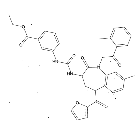 CCOC(=O)c1cccc(NC(=O)NC2CC(C(=O)c3ccco3)c3ccc(C)cc3N(CC(=O)c3ccccc3C)C2=O)c1